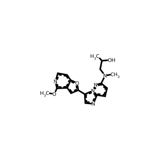 COc1nccc2oc(-c3cnc4ccc(N(C)CC(C)O)nn34)cc12